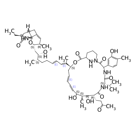 CC[C@H]1C[C@@H]2CC3=C[C@@H](C)[C@H](C[C@H](O)[C@@H](C)CC/C=C/C=C(\C)[C@@H]4C/C=C/C=C/[C@H](O)[C@H](C)[C@@H](O)[C@@H](CCC(C)=O)C(=O)N[C@@H](C(C)C)C(=O)NC(c5ccc(C)c(O)c5)C(=O)N5CCCC(N5)C(=O)O4)O[C@@]32NC1=O